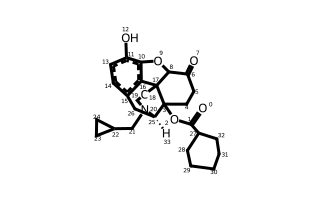 O=C(OC12CCC(=O)C3Oc4c(O)ccc5c4C31CCN(CC1CC1)[C@@H]2C5)C1CCCCC1